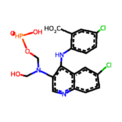 O=C(O)c1cc(Cl)ccc1Nc1c(N(CO)CO[PH](=O)O)cnc2ccc(Cl)cc12